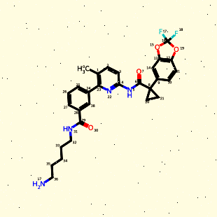 Cc1ccc(NC(=O)C2(c3ccc4c(c3)OC(F)(F)O4)CC2)nc1-c1cccc(C(=O)NCCCCCN)c1